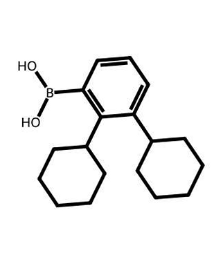 OB(O)c1cccc(C2CCCCC2)c1C1CCCCC1